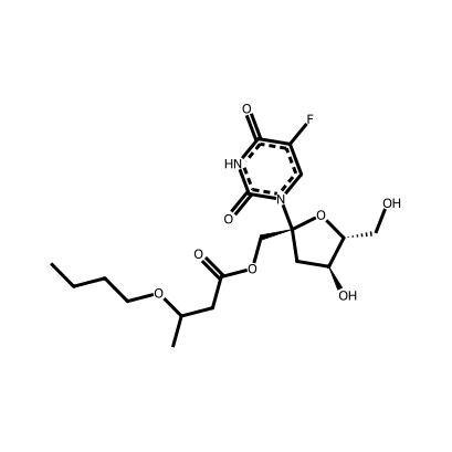 CCCCOC(C)CC(=O)OC[C@]1(n2cc(F)c(=O)[nH]c2=O)C[C@H](O)[C@@H](CO)O1